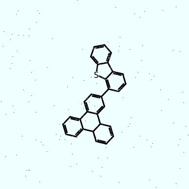 C1=CC2c3ccccc3-c3ccc(-c4cccc5c4sc4ccccc45)cc3C2C=C1